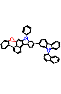 c1ccc(-n2c3cc(-c4ccc5c6ccccc6n(-c6cccc7ccccc67)c5c4)ccc3c3c4cccc5c4c(cc32)Oc2ccccc2-5)cc1